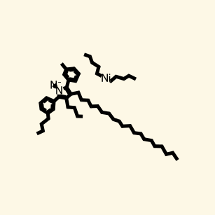 CCCCCCCCCCCCCCCCCCCCC1=C(c2cccc(C)c2)[N+](=[N-])C(c2cccc(CCCC)c2)=C1CCCC.CCCC[CH2][Ni][CH2]CCCC